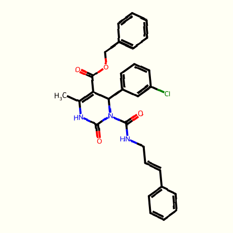 CC1=C(C(=O)OCc2ccccc2)C(c2cccc(Cl)c2)N(C(=O)NCC=Cc2ccccc2)C(=O)N1